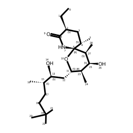 CC[C@H]1C[C@H](C)[C@@]2(NC1=O)O[C@@H](C[C@H](O)[C@@H](C)CCC(C)(C)C)[C@H](C)[C@H](O)[C@@H]2C